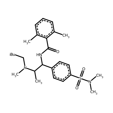 CCC(C)CN(C)C(C)C(NC(=O)c1c(C)cccc1C)c1ccc(S(=O)(=O)N(C)C)cc1